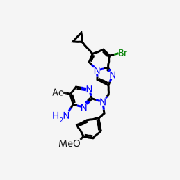 COc1ccc(CN(Cc2cn3cc(C4CC4)cc(Br)c3n2)c2ncc(C(C)=O)c(N)n2)cc1